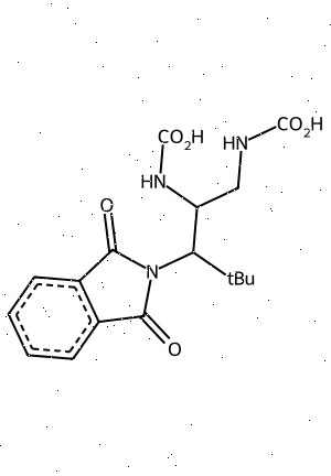 CC(C)(C)C(C(CNC(=O)O)NC(=O)O)N1C(=O)c2ccccc2C1=O